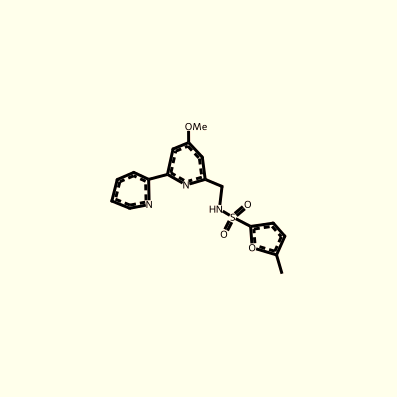 COc1cc(CNS(=O)(=O)c2ccc(C)o2)nc(-c2ccccn2)c1